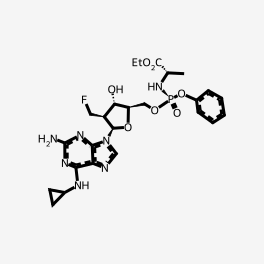 CCOC(=O)[C@H](C)N[P@@](=O)(OC[C@H]1O[C@@H](n2cnc3c(NC4CC4)nc(N)nc32)[C@@H](CF)[C@@H]1O)Oc1ccccc1